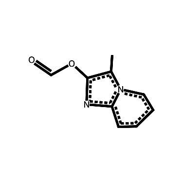 Cc1c(OC=O)nc2ccccn12